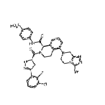 CC(C)c1nnc2n1CCN(c1cccc3c1CCN(C(=O)[C@H]1CC(c4cccc(Cl)c4F)=NO1)[C@H]3C(=O)Nc1ccc(C(=O)O)cc1)C2